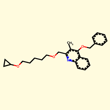 Cc1c(COCCCCCOC2CC2)nc2ccccc2c1OCc1ccccc1